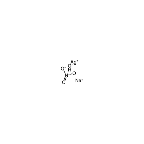 O=[N+]([O-])[O-].[Ag+].[Na+].[OH-]